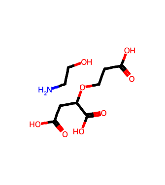 NCCO.O=C(O)CCOC(CC(=O)O)C(=O)O